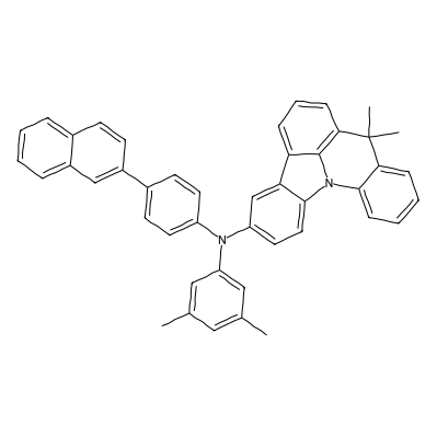 Cc1cc(C)cc(N(c2ccc(-c3ccc4ccccc4c3)cc2)c2ccc3c(c2)c2cccc4c2n3-c2ccccc2C4(C)C)c1